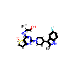 CCc1[nH]c2ccc(F)cc2c1C1CCN(c2nc3c(c(N[C@@H](CO)C(C)C)n2)[S+]([O-])CC3)CC1